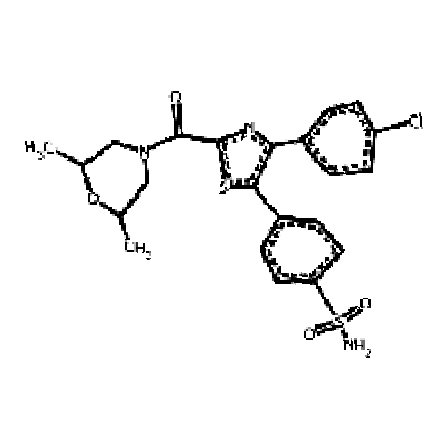 CC1CN(C(=O)c2nc(-c3ccc(Cl)cc3)c(-c3ccc(S(N)(=O)=O)cc3)s2)CC(C)O1